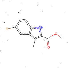 COC(=O)c1[nH]c2ccc(Br)cc2c1C